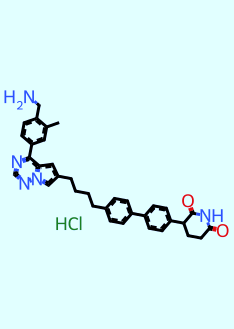 Cc1cc(-c2ncnn3cc(CCCCc4ccc(-c5ccc(C6CCC(=O)NC6=O)cc5)cc4)cc23)ccc1CN.Cl